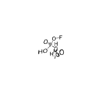 O.O.O=P(O)(O)OF